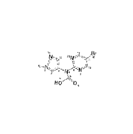 Cn1cc(N(C(=O)O)c2ncc(Br)cn2)cn1